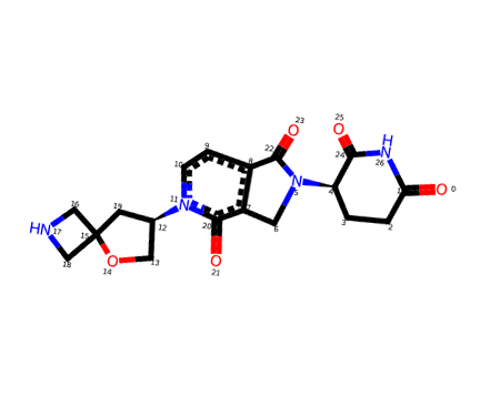 O=C1CC[C@@H](N2Cc3c(ccn([C@H]4COC5(CNC5)C4)c3=O)C2=O)C(=O)N1